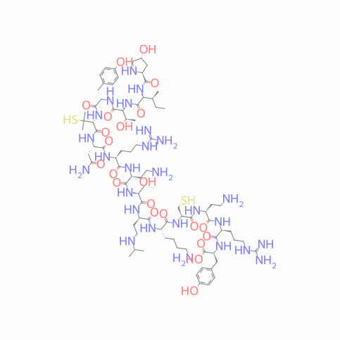 CC[C@H](C)[C@H](NC(=O)[C@@H]1C[C@@H](O)CN1)C(=O)N[C@H](C(=O)N[C@@H](Cc1ccc(O)cc1)C(=O)N[C@H](C(=O)N[C@@H](CC(N)=O)C(=O)N[C@@H](CCCNC(=N)N)C(=O)N[C@@H](CCN)C(=O)N[C@H](C(=O)N[C@H](CCNC(C)C)C(=O)N[C@@H](CCCCN)C(=O)N[C@@H](CS)C(=O)N[C@@H](CCN)C(=O)N[C@@H](CCCNC(=N)N)C(=O)N[C@@H](Cc1ccc(O)cc1)C(=O)O)[C@@H](C)O)C(C)(C)S)[C@@H](C)O